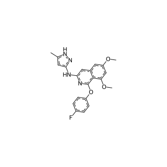 COc1cc(OC)c2c(Oc3ccc(F)cc3)nc(Nc3cc(C)[nH]n3)cc2c1